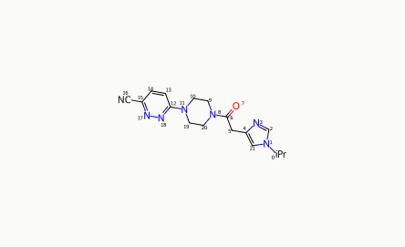 CC(C)n1cnc(CC(=O)N2CCN(c3ccc(C#N)nn3)CC2)c1